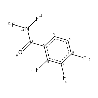 O=C(c1ccc(F)c(F)c1F)N(F)F